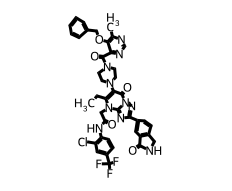 CCc1c(N2CCN(C(=O)c3ncnc(C)c3OCc3ccccc3)CC2)c(=O)n2nc(-c3ccc4c(c3)C(=O)NC4)nc2n1CC(=O)Nc1ccc(C(F)(F)F)cc1Cl